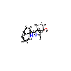 Cc1[nH]c(-c2cccc3ccccc23)c2c1C(=O)CCC2